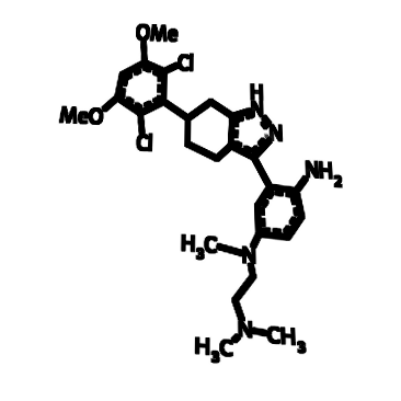 COc1cc(OC)c(Cl)c(C2CCc3c(-c4cc(N(C)CCN(C)C)ccc4N)n[nH]c3C2)c1Cl